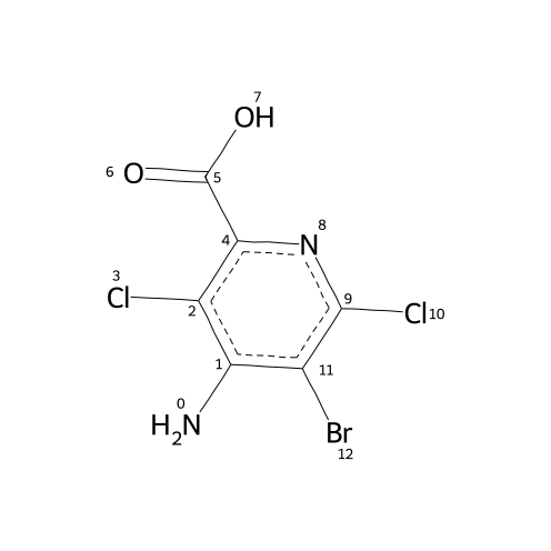 Nc1c(Cl)c(C(=O)O)nc(Cl)c1Br